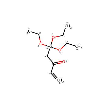 C=CC(=O)C[Si](OCC)(OCC)OCC